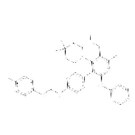 Cc1nc(Nc2ccncn2)c(-c2ccc(OCCc3ccc(F)cc3)cc2)c(N2CCC(C)(C)CC2)c1[C@H](OC(C)(C)C)C(=O)O